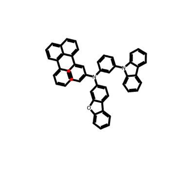 c1ccc(-c2cccc3cccc(-c4cccc(N(c5cccc(-n6c7ccccc7c7ccccc76)c5)c5ccc6c(c5)oc5ccccc56)c4)c23)cc1